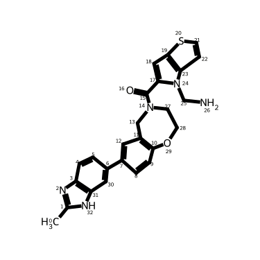 Cc1nc2ccc(-c3ccc4c(c3)CN(C(=O)c3cc5sccc5n3CN)CCO4)cc2[nH]1